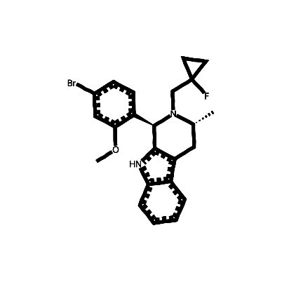 COc1cc(Br)ccc1[C@@H]1c2[nH]c3ccccc3c2C[C@@H](C)N1CC1(F)CC1